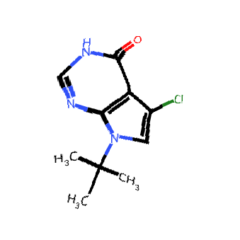 CC(C)(C)n1cc(Cl)c2c(=O)[nH]cnc21